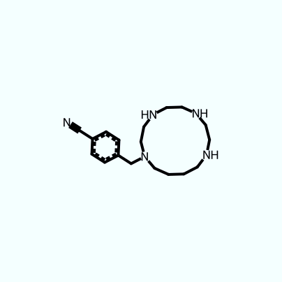 N#Cc1ccc(CN2CCCCNCCNCCNCC2)cc1